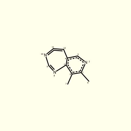 Cc1ncc2c(c1C)N=CN=C=C2